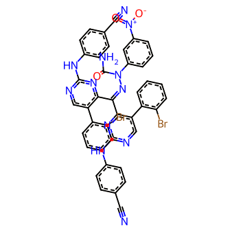 N#Cc1ccc(Nc2ncc(-c3ccccc3Br)c(C(=NN(C(N)=O)c3cccc([N+](=O)[O-])c3)c3nc(Nc4ccc(C#N)cc4)ncc3-c3ccccc3Br)n2)cc1